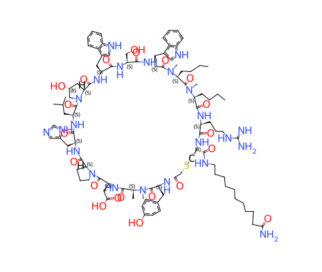 CCCC[C@H]1C(=O)N(C)[C@@H](CCCC)C(=O)N[C@@H](CCCNC(=N)N)C(=O)N[C@H](C(=O)NCCCCCCCCCCC(N)=O)CSCC(=O)N[C@@H](Cc2ccc(O)cc2)C(=O)N(C)[C@@H](C)C(=O)N[C@@H](CC(=O)O)C(=O)N2CCC[C@H]2C(=O)N[C@@H](Cc2cnc[nH]2)C(=O)N[C@@H](CC(C)C)C(=O)N2C[C@H](O)C[C@H]2C(=O)N[C@@H](Cc2c[nH]c3ccccc23)C(=O)N[C@@H](CO)C(=O)N[C@@H](Cc2c[nH]c3ccccc23)C(=O)N1C